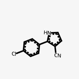 N#Cc1cc[nH]c1-c1ccc(Cl)cc1